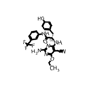 CCOc1nc(N)nc(N[C@@H](Cc2ccc(O)cc2)C(=O)Nc2cccc(C(F)(F)F)c2)c1C#N